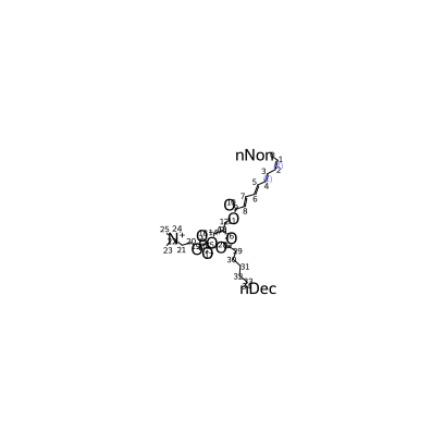 CCCCCCCCC/C=C\C=C\C=CC=CC(=O)OC[C@H](COP(=O)([O-])OCC[N+](C)(C)C)OC(=O)CCCCCCCCCCCCCCC